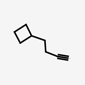 [C]#CCCC1CCC1